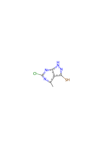 Cc1nc(Cl)nc2[nH]nc(S)c12